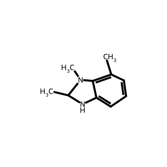 Cc1cccc2c1N(C)C(C)N2